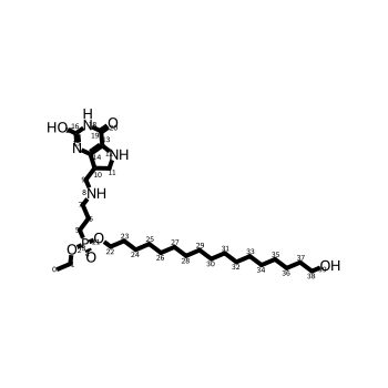 CCOP(=O)(CCCNCC1CNc2c1nc(O)[nH]c2=O)OCCCCCCCCCCCCCCCCCO